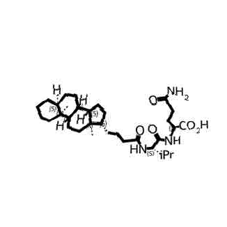 CC(C)[C@H](NC(=O)CCC[C@H]1CC[C@H]2[C@@H]3CC[C@@H]4CCCC[C@]4(C)[C@H]3CC[C@]12C)C(=O)N[C@@H](CCC(N)=O)C(=O)O